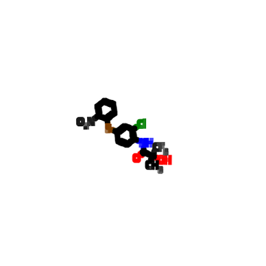 CC(O)(C(=O)Nc1ccc(Sc2ccccc2[N+](=O)[O-])cc1Cl)C(F)(F)F